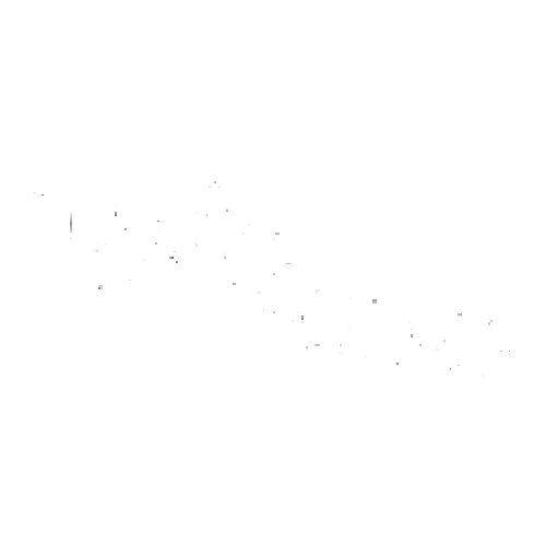 CC1(C)CC(NS(=O)(=O)c2ccc(C(F)(F)F)cc2Cl)c2cc(C(=O)N3CCC4(CC3)CCN(c3ccncc3)CC4)ccc21